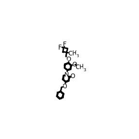 COc1cc(-n2ccc(OCc3ccccc3)cc2=O)ccc1OCC1(C)CC(F)(F)C1